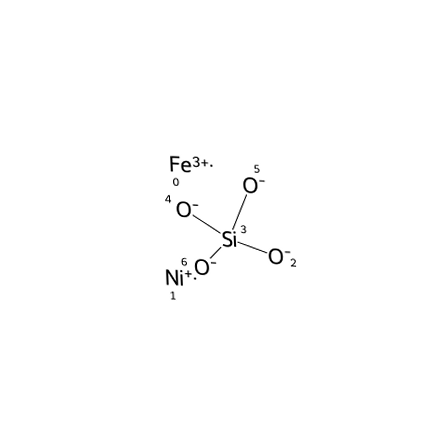 [Fe+3].[Ni+].[O-][Si]([O-])([O-])[O-]